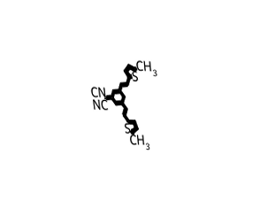 [C-]#[N+]C(C#N)=C1C=C(/C=C/c2ccc(C)s2)CC(/C=C/c2ccc(C)s2)=C1